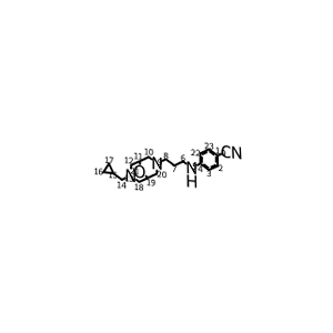 N#Cc1ccc(NCCCN2CC3CN(CC4CC4)CC(C2)O3)cc1